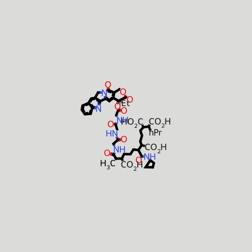 CCCC(C(=O)O)C(CCCC(C(=O)O)C(CCCC(C(=O)O)C(C)C(=O)NCC(=O)NCC(=O)NCC(=O)O[C@]1(CC)C(=O)OCc2c1cc1n(c2=O)Cc2cc3ccccc3nc2-1)C(=O)NC1CCC1)C(=O)O